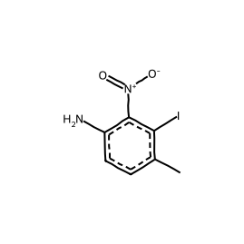 Cc1ccc(N)c([N+](=O)[O-])c1I